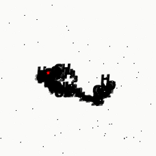 CN1CCC[C@@H]1c1cc2cnc(NC(=O)c3ccc(CCCCC#Cc4cccc(N5CCC(=O)NC5=O)n4)cc3)cc2n1C(=O)OC(C)(C)C